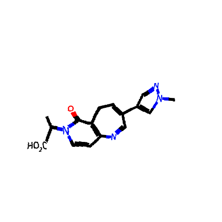 CC(C(=O)O)n1ccc2c(c1=O)CC=C(c1cnn(C)c1)C=N2